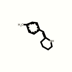 Cc1ccc(C=C2CCCCN2)cc1